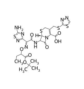 CCC(ON=C(C(=O)NC1C(=O)N2C(C(=O)O)=C(CSc3nncs3)CS[C@@H]12)c1nsc(N)n1)C(=O)OC(C)(C)C